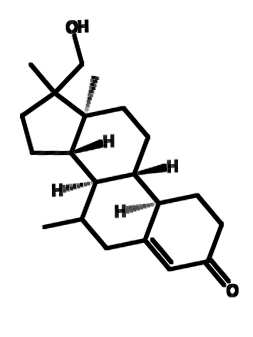 CC1CC2=CC(=O)CC[C@@H]2[C@H]2CC[C@@]3(C)[C@@H](CCC3(C)CO)[C@H]12